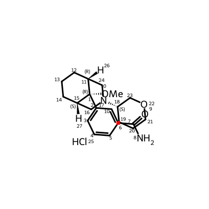 CO[C@@]1(c2cccc(C(N)=O)c2)[C@@H]2CCC[C@H]1CN([C@H]1CCCOC1)C2.Cl